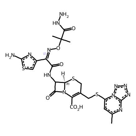 Cc1cc(SCC2=C(C(=O)O)N3C(=O)C(NC(=O)/C(=N\OC(C)(C)C(=O)NN)c4csc(N)n4)[C@H]3SC2)n2nnnc2n1